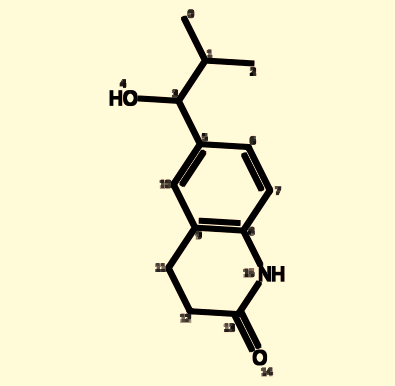 CC(C)C(O)c1ccc2c(c1)CCC(=O)N2